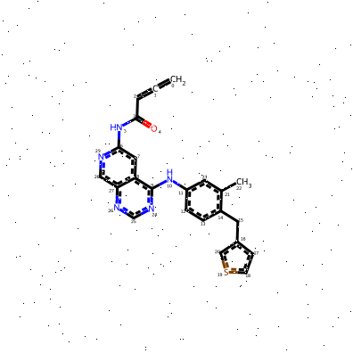 C=C=CC(=O)Nc1cc2c(Nc3ccc(Cc4ccsc4)c(C)c3)ncnc2cn1